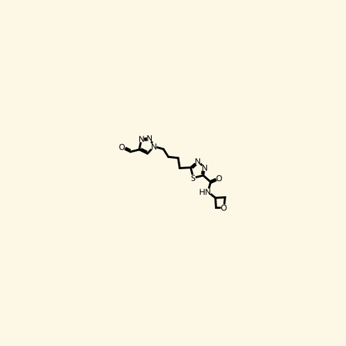 O=Cc1cn(CCCCc2nnc(C(=O)NC3COC3)s2)nn1